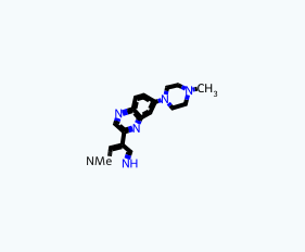 CN/C=C(\C=N)c1cnc2ccc(N3CCN(C)CC3)cc2n1